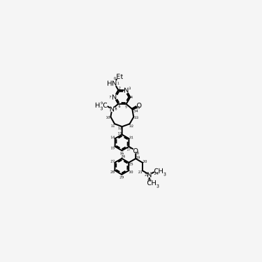 CCNc1ncc2c(n1)N(C)CCC(c1cccc(OC(CCN(C)C)c3ccccc3)c1)CCC2=O